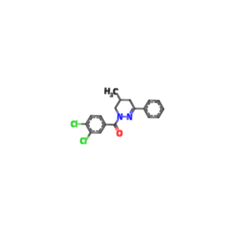 CC1CC(c2ccccc2)=NN(C(=O)c2ccc(Cl)c(Cl)c2)C1